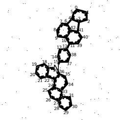 c1ccc2c(c1)-c1cccc3c(-c4ccc(-n5c6ccccc6c6c7ccc8ccccc8c7ccc65)cc4)ccc-2c13